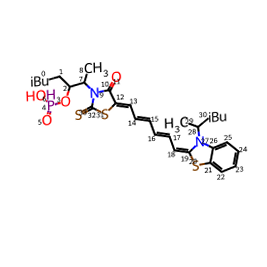 CCC(C)CC(O[PH](=O)O)C(C)N1C(=O)/C(=C/C=C/C=C/C=C2/Sc3ccccc3N2C(C)C(C)CC)SC1=S